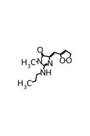 CCCNC1=NC(=CC2=CCOO2)C(=O)N1C